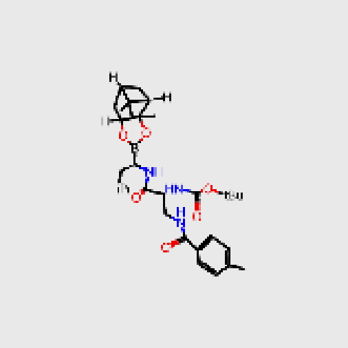 Cc1ccc(C(=O)NC[C@H](NC(=O)OC(C)(C)C)C(=O)N[C@@H](CC(C)C)B2O[C@@H]3C[C@@H]4C[C@@H](C4(C)C)[C@]3(C)O2)cc1